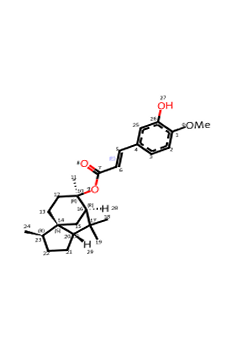 COc1ccc(/C=C/C(=O)O[C@]2(C)CC[C@@]34C[C@@H]2C(C)(C)[C@@H]3CC[C@H]4C)cc1O